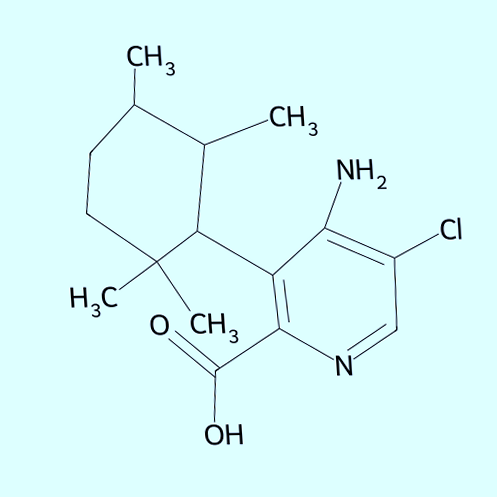 CC1CCC(C)(C)C(c2c(C(=O)O)ncc(Cl)c2N)C1C